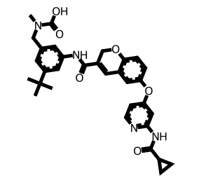 CN(Cc1cc(NC(=O)C2=Cc3cc(Oc4ccnc(NC(=O)C5CC5)c4)ccc3OC2)cc(C(C)(C)C)c1)C(=O)O